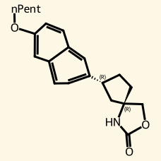 CCCCCOc1ccc2cc([C@@H]3CC[C@]4(COC(=O)N4)C3)ccc2c1